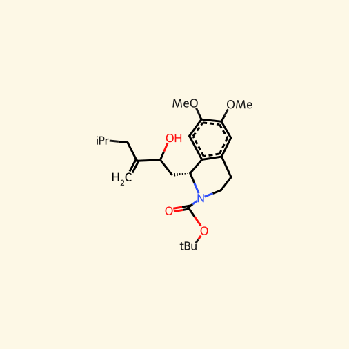 C=C(CC(C)C)C(O)C[C@@H]1c2cc(OC)c(OC)cc2CCN1C(=O)OC(C)(C)C